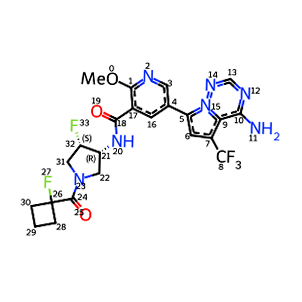 COc1ncc(-c2cc(C(F)(F)F)c3c(N)ncnn23)cc1C(=O)N[C@@H]1CN(C(=O)C2(F)CCC2)C[C@@H]1F